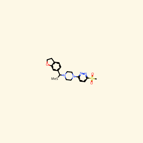 CSC(c1ccc2c(c1)OCC2)N1CCN(c2ccc(S(C)(=O)=O)nn2)CC1